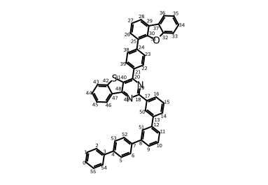 c1ccc(-c2ccc(-c3cccc(-c4cccc(-c5nc(-c6ccc(-c7cccc8c7oc7ccccc78)cc6)c6sc7ccccc7c6n5)c4)c3)cc2)cc1